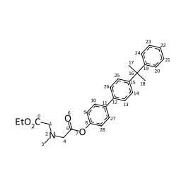 CCOC(=O)CN(C)CC(=O)Oc1ccc(-c2ccc(C(C)(C)c3ccccc3)cc2)cc1